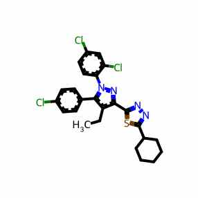 CCc1c(-c2nnc(C3CCCCC3)s2)nn(-c2ccc(Cl)cc2Cl)c1-c1ccc(Cl)cc1